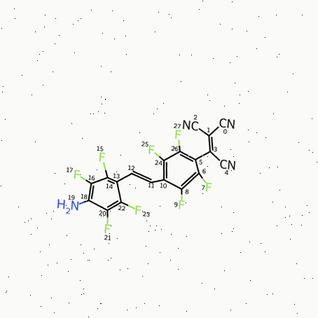 N#CC(C#N)=C(C#N)c1c(F)c(F)c(/C=C/c2c(F)c(F)c(N)c(F)c2F)c(F)c1F